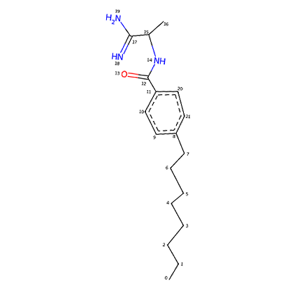 CCCCCCCCc1ccc(C(=O)NC(C)C(=N)N)cc1